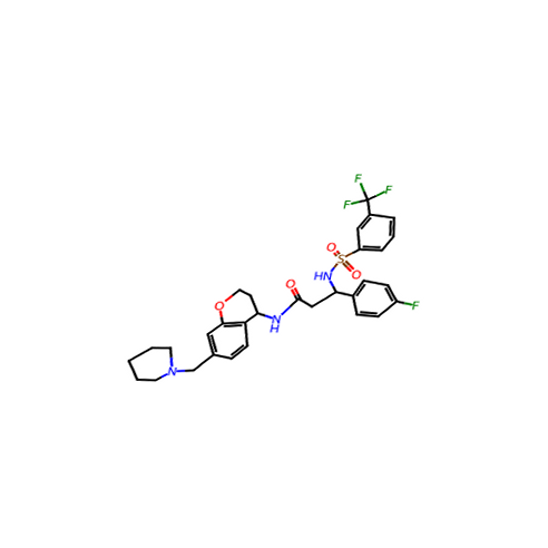 O=C(CC(NS(=O)(=O)c1cccc(C(F)(F)F)c1)c1ccc(F)cc1)NC1CCOc2cc(CN3CCCCC3)ccc21